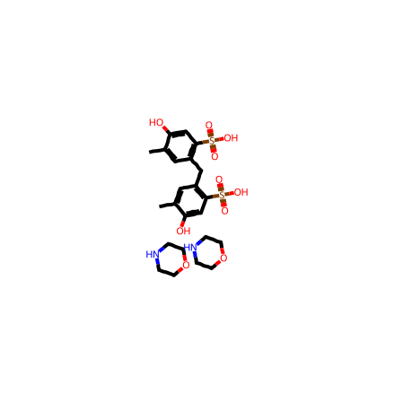 C1COCCN1.C1COCCN1.Cc1cc(Cc2cc(C)c(O)cc2S(=O)(=O)O)c(S(=O)(=O)O)cc1O